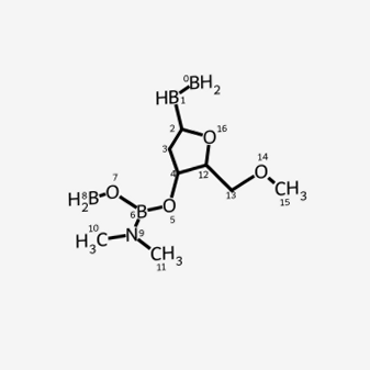 BBC1CC(OB(OB)N(C)C)C(COC)O1